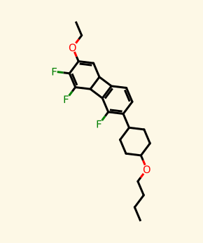 CCCCOC1CCC(c2ccc3c(c2F)C2C(F)=C(F)C(OCC)=CC32)CC1